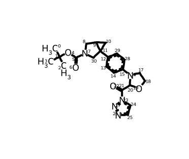 CC(C)(C)OC(=O)N1CC2CC2(c2ccc(N3CCOC3C(=O)n3ccnn3)cc2)C1